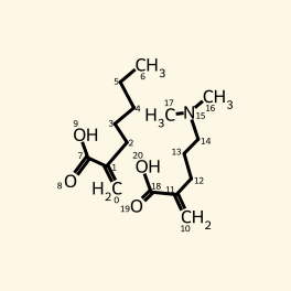 C=C(CCCCC)C(=O)O.C=C(CCCN(C)C)C(=O)O